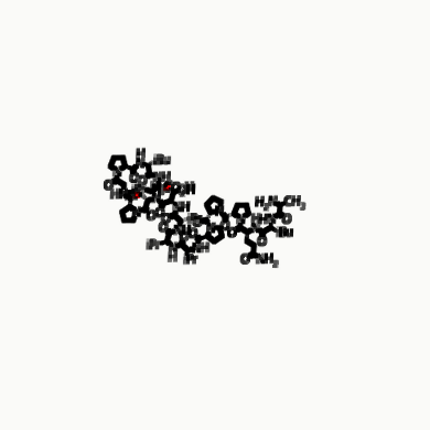 CC[C@H](C)[C@H](NC(=O)[C@H](C)N)C(=O)N[C@@H](CCC(N)=O)C(=O)N1CCC[C@H]1C(=O)N1CCC[C@H]1C(=O)N1CCC[C@H]1C(=O)N[C@H](C(=O)N[C@H](C(=O)N[C@H](C(=O)N[C@H](C(=O)N[C@@H](CC(C)C)C(=O)N1CCC[C@H]1C(=O)NCC(=O)N1CCC[C@H]1C(=O)N[C@H](C(=O)N[C@@H](CC(C)C)C(=O)O)[C@@H](C)CC)[C@@H](C)O)C(C)C)C(C)C)C(C)C